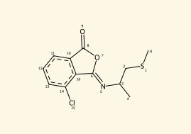 CSCC(C)N=C1OC(=O)c2cccc(Cl)c21